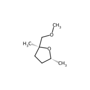 COC[C@]1(C)CC[C@@H](C)O1